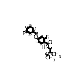 COC(C)CNC(=O)c1ccc(OCc2cccc(F)c2)cc1F